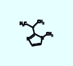 C[C](C)c1nccn1C